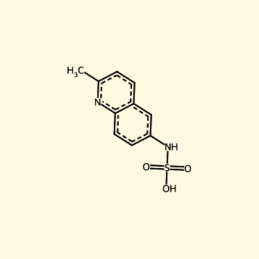 Cc1ccc2cc(NS(=O)(=O)O)ccc2n1